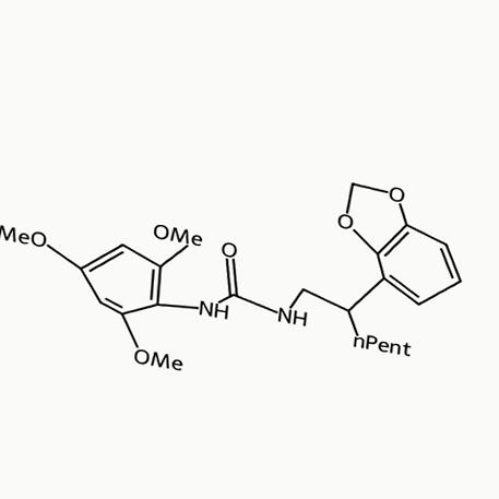 CCCCCC(CNC(=O)Nc1c(OC)cc(OC)cc1OC)c1cccc2c1OCO2